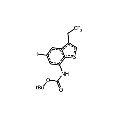 CC(C)(C)OC(=O)Nc1cc(I)cc2c(CC(F)(F)F)csc12